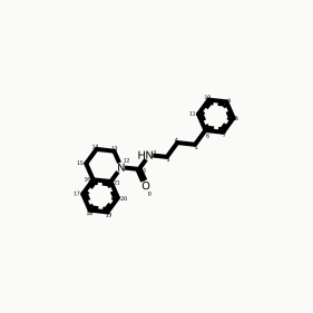 O=C(NCCCc1ccccc1)N1CCCc2ccccc21